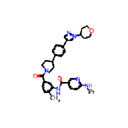 Cc1ccc(C(=O)N2CCC(c3ccc(-c4cnn(C5CCOCC5)c4)cc3)CC2)cc1NC(=O)c1ccc(NC(C)C)nc1